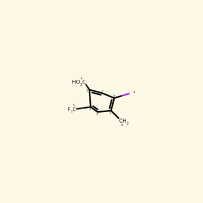 Cc1cc(C(F)(F)F)c(C(=O)O)cc1I